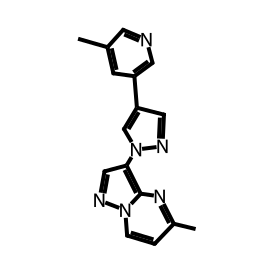 Cc1cncc(-c2cnn(-c3cnn4ccc(C)nc34)c2)c1